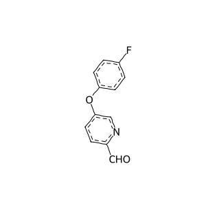 O=Cc1ccc(Oc2ccc(F)cc2)cn1